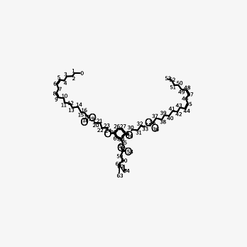 CCCCC/C=C\C/C=C\CCCCCCCC(=O)OCCCCOc1ccc(OCCCCOC(=O)CCCCCCC/C=C\C/C=C\CCCCC)c(COC(=O)CCCN(C)C)c1